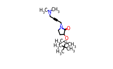 CN(C)CC#CCN1CCC(O[Si](C)(C)C(C)(C)C)C1=O